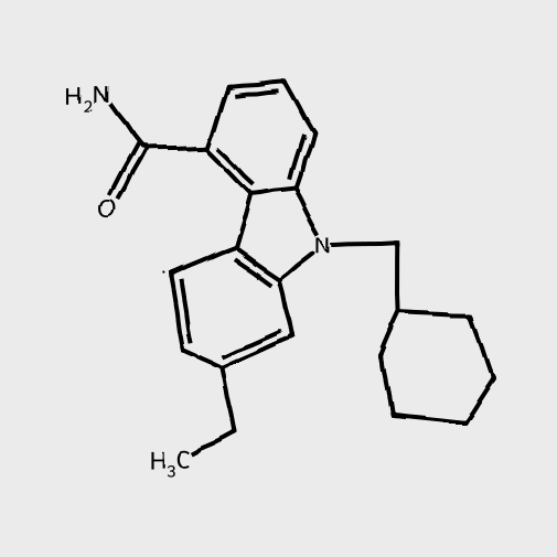 CCc1c[c]c2c3c(C(N)=O)cccc3n(CC3CCCCC3)c2c1